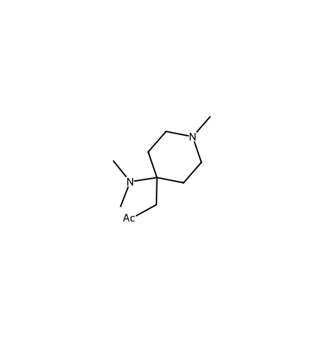 CC(=O)CC1(N(C)C)CCN(C)CC1